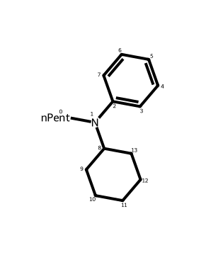 CCCCCN(c1ccccc1)C1CCCCC1